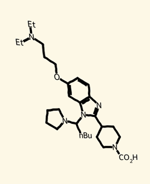 CCCCC(N1CCCC1)n1c(C2CCN(C(=O)O)CC2)nc2ccc(OCCCN(CC)CC)cc21